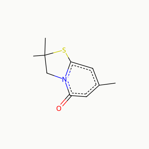 Cc1cc2n(c(=O)c1)CC(C)(C)S2